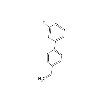 C=Cc1ccc(-c2cccc(F)c2)cc1